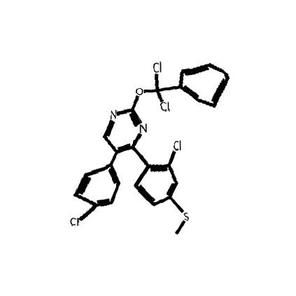 CSc1ccc(-c2nc(OC(Cl)(Cl)c3ccccc3)ncc2-c2ccc(Cl)cc2)c(Cl)c1